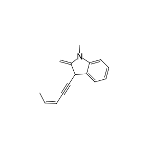 C=C1C(C#C/C=C\C)c2ccccc2N1C